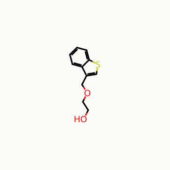 OCCOCc1csc2ccccc12